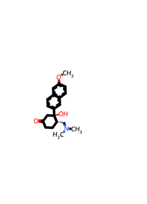 COc1ccc2cc([C@@]3(O)CC(=O)CC[C@H]3CN(C)C)ccc2c1